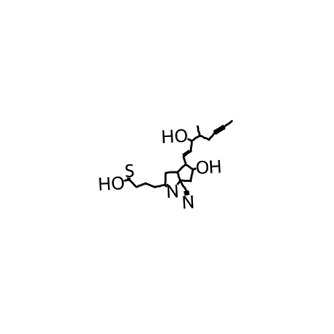 CC#CCC(C)C(O)C=CC1C(O)CC2(C#N)N=C(CCCC(O)=S)CC12